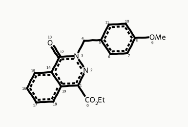 CCOC(=O)c1nn(Cc2ccc(OC)cc2)c(=O)c2ccccc12